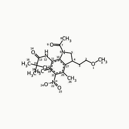 COCCC1CN(C(C)=O)c2c(NC(=O)C(C)(C)C)c(C)c([N+](=O)[O-])c(C)c21